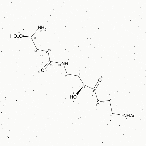 CC(=O)NCCSC(=O)[C@@H](O)CCNC(=O)CC[C@H](N)C(=O)O